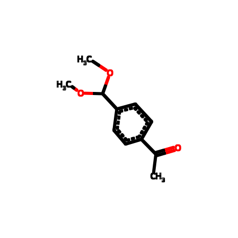 COC(OC)c1ccc(C(C)=O)cc1